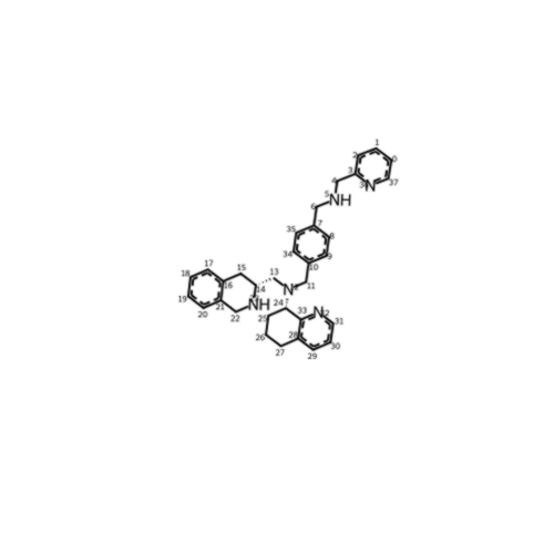 c1ccc(CNCc2ccc(CN(C[C@H]3Cc4ccccc4CN3)[C@H]3CCCc4cccnc43)cc2)nc1